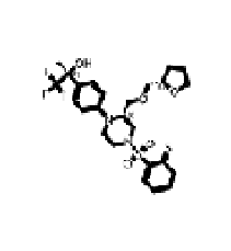 C[C@@](O)(c1ccc(N2CCN(S(=O)(=O)C3=CC=CCC3=S)C[C@@H]2COC[C@@H]2CCCO2)cc1)C(F)(F)F